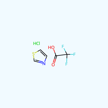 Cl.O=C(O)C(F)(F)F.c1cscn1